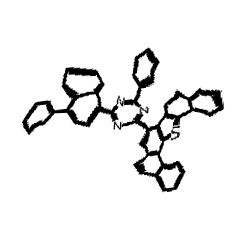 c1ccc(-c2nc(-c3ccc(-c4ccccc4)c4ccccc34)nc(-c3cc4ccc5ccccc5c4c4sc5c6ccccc6ccc5c34)n2)cc1